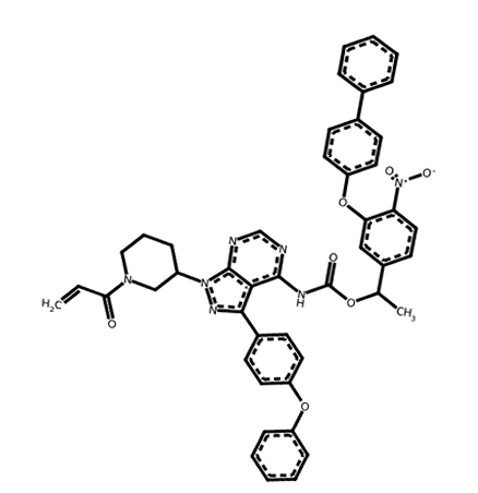 C=CC(=O)N1CCCC(n2nc(-c3ccc(Oc4ccccc4)cc3)c3c(NC(=O)OC(C)c4ccc([N+](=O)[O-])c(Oc5ccc(-c6ccccc6)cc5)c4)ncnc32)C1